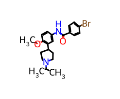 COc1ccc(NC(=O)c2ccc(Br)cc2)cc1C1CCN(C(C)C)CC1